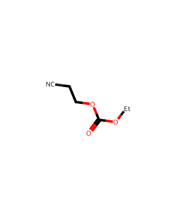 CCOC(=O)OCCC#N